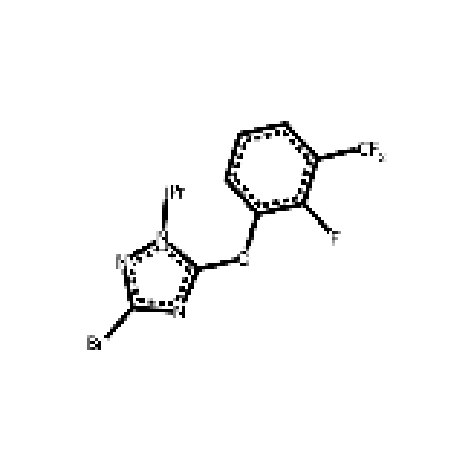 CC(C)n1nc(Br)nc1Oc1cccc(C(F)(F)F)c1F